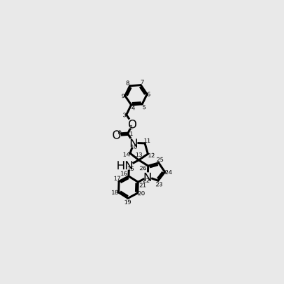 O=C(OCc1ccccc1)N1CCC2(C1)Nc1ccccc1-n1cccc12